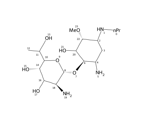 CCCNC1CC(N)[C@@H](O[C@H]2OC(C(C)O)[C@@H](O)C(O)[C@@H]2N)C(O)[C@@H]1OC